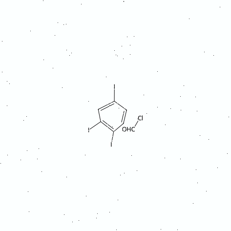 Ic1ccc(I)c(I)c1.O=CCl